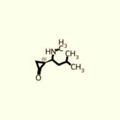 CNC(CC(C)C)[C@@H]1CC1=O